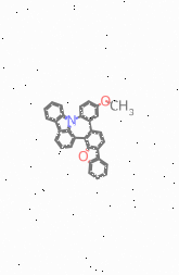 COc1ccc2c(c1)-c1ccc3c(oc4ccccc43)c1-c1cccc3c4ccccc4n-2c13